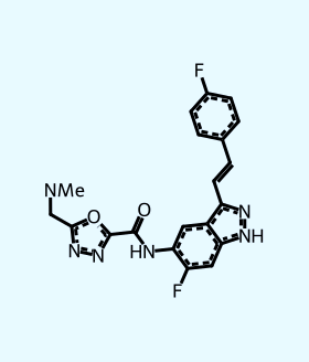 CNCc1nnc(C(=O)Nc2cc3c(/C=C/c4ccc(F)cc4)n[nH]c3cc2F)o1